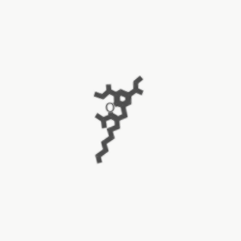 CCCCCCCC1=C(C(C)C)Oc2c(cc(C(C)CC)cc2C(C)CC)C1